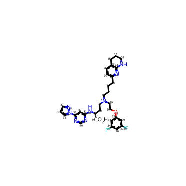 O=C(O)C(CCN(CCCCc1ccc2c(n1)NCCC2)CCOc1cc(F)cc(F)c1)Nc1cc(-n2cccn2)ncn1